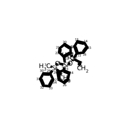 C=C[Si](C)(O[Si](O[Si](C)(C=C)c1ccccc1)(c1ccccc1)c1ccccc1)c1ccccc1